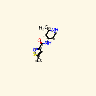 CCc1cc(C(=O)N[C@H]2CCN[C@@H](C)C2)ns1